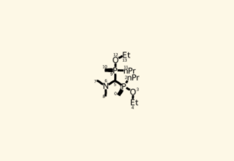 C=P(CCC)(OCC)C(N(C)C)P(=C)(CCC)OCC